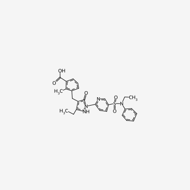 CCc1[nH]n(-c2ccc(S(=O)(=O)N(CC)c3ccccc3)cn2)c(=O)c1Cc1cccc(C(=O)O)c1C